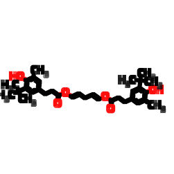 Cc1cc(CCC(=O)OC=CCC=COC(=O)CCc2cc(C)c(O)c(C(C)(C)C)c2)cc(C(C)(C)C)c1O